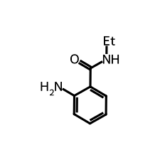 [CH2]CNC(=O)c1ccccc1N